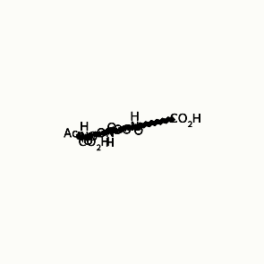 CC(=O)CC[C@H](NC(=O)COCCOCCNC(=O)COCCOCCNC(=O)CCCCCCCCCCCCC(=O)O)C(=O)O